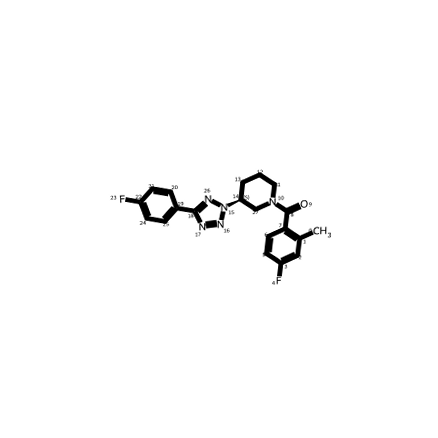 Cc1cc(F)ccc1C(=O)N1CCC[C@H](n2nnc(-c3ccc(F)cc3)n2)C1